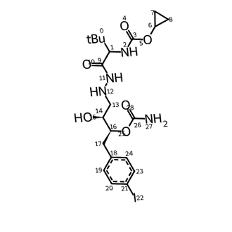 CC(C)(C)C(NC(=O)OC1CC1)C(=O)NNC[C@H](O)[C@H](Cc1ccc(I)cc1)OC(N)=O